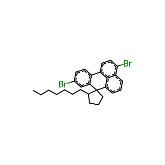 CCCCCCCC1CCCC12c1cc(Br)ccc1-c1ccc(Br)c3cccc2c13